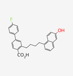 O=C(O)c1ccc(-c2ccc(F)cc2)cc1CCCCc1cccc2cc(O)ccc12